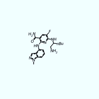 CCCCC(CN)Nc1nc(Nc2cccc3c2cnn3C)c(C(N)=O)cc1F